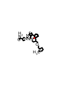 CN1CCCC1CCOCC1CCN(c2nc(N3CCC(C(N)=O)C3)nc3scc(-c4ccccc4)c23)CC1